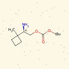 CC(C)(C)OC(=O)OC[C@H](N)C1(C)CCC1